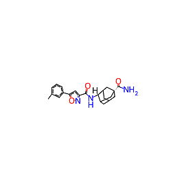 Cc1cccc(-c2cc(C(=O)N[C@H]3C4CC5CC3C[C@](C(N)=O)(C5)C4)no2)c1